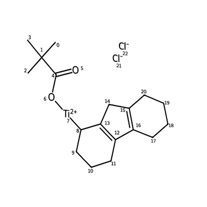 CC(C)(C)C(=O)[O][Ti+2][CH]1CCCC2=C1CC1=C2CCCC1.[Cl-].[Cl-]